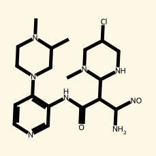 CC1CN(c2ccncc2NC(=O)C(C(N)N=O)C2NCC(Cl)CN2C)CCN1C